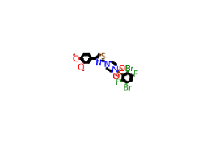 COc1ccc(-c2csc(N3CCN(S(=O)(=O)c4c(F)c(Br)cc(F)c4Br)CC3)n2)cc1OC